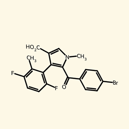 Cc1c(F)ccc(F)c1-c1c(C(=O)O)cn(C)c1C(=O)c1ccc(Br)cc1